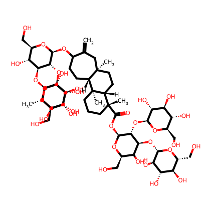 C=C1C[C@@]2(C)CC[C@H]3[C@@](C)(CCC[C@@]3(C)C(=O)O[C@@H]3O[C@H](CO)C(O)[C@H](O[C@@H]4O[C@H](CO)[C@@H](O)[C@H](O)[C@H]4O)[C@H]3O[C@@H]3O[C@H](CO)[C@@H](O)[C@H](O)[C@H]3O)[C@@H]2CCC1O[C@@H]1O[C@H](CO)[C@@H](O)[C@H](O[C@@H]2O[C@H](CO)[C@@H](O)[C@H](O)[C@H]2O)[C@H]1O[C@@H]1O[C@@H](C)[C@H](O)[C@@H](O)[C@H]1O